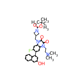 CN(C)CCn1c(=O)c(=O)n(CC2CN(C(=O)OC(C)(C)C)C2)c2cc(F)c(-c3cc(O)cc4ccccc34)cc21